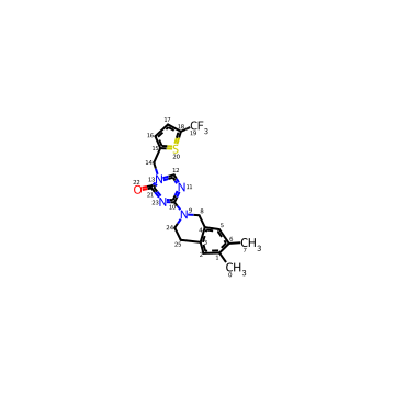 Cc1cc2c(cc1C)CN(c1ncn(Cc3ccc(C(F)(F)F)s3)c(=O)n1)CC2